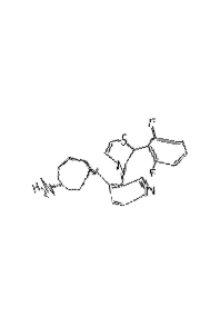 NC1CCCN(c2ccncc2N2C=CSC2c2c(F)cccc2F)C1